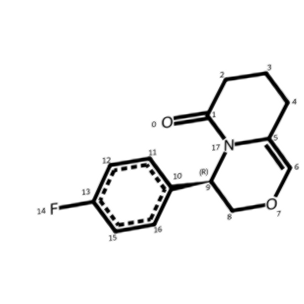 O=C1CCCC2=COC[C@@H](c3ccc(F)cc3)N12